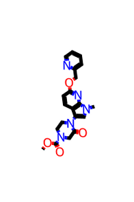 COC(=O)N1CCN(c2cn(C)c3nc(OCc4ccccn4)ccc23)C(=O)C1